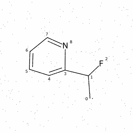 [CH2]C(F)c1ccccn1